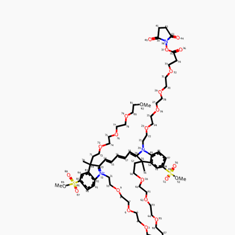 COCCOCCOCCOCC[N+]1=C(/C=C/C=C/C=C2/N(CCOCCOCCOCCOCCC(=O)ON3C(=O)CCC3=O)c3ccc(S(=O)(=O)OC)cc3C2(C)CCOCCOCCOCCOC)C(C)(CCOCCOCCOCCOC)c2cc(S(=O)(=O)OC)ccc21